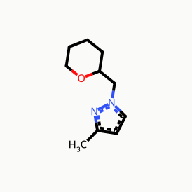 Cc1ccn(CC2CCCCO2)n1